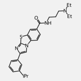 CCN(CC)CCCNC(=O)c1ccc2c(c1)sc1nc(-c3cccc(C(C)C)c3)cn12